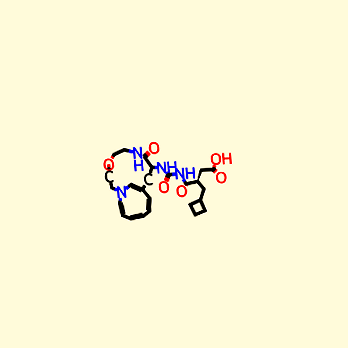 O=C(O)C[C@@H](CC1CCC1)C(=O)NC(=O)NC1Cc2ccccccn(c2)CCOCCNC1=O